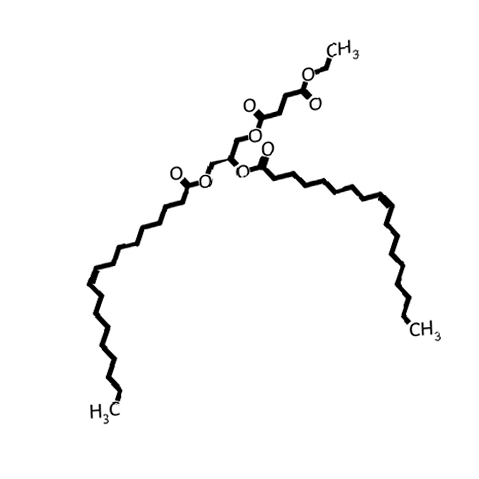 CCCCCCCC/C=C\CCCCCCCC(=O)OC[C@@H](COC(=O)CCC(=O)OCC)OC(=O)CCCCCCC/C=C\CCCCCCCC